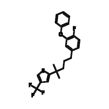 CC(C)(CCCc1ccc(F)c(Oc2ccccc2)c1)c1cc(C(F)(F)F)cs1